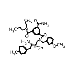 CCCN(CCC)C(=O)c1cc(C(N)=O)cc(C(=O)N(Cc2cccc(OC)c2)C[C@@H](O)[C@@H](N)Cc2ccc(C)cc2)c1